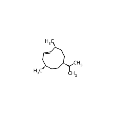 CC(C)[C@H]1CC[C@@H](C)C/C=C/[C@@H](C)CC1